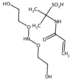 C=CC(=O)NC(C)(C)S(=O)(=O)O.OCCONOCCO